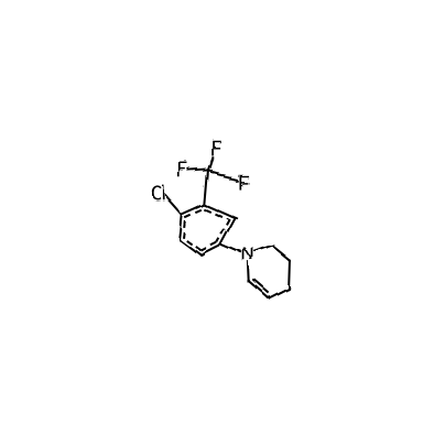 FC(F)(F)c1cc(N2C=CCCC2)ccc1Cl